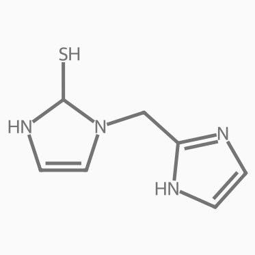 SC1NC=CN1Cc1ncc[nH]1